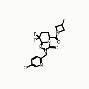 O=C(C1CCC(F)(F)c2nn(Cc3ccc(Cl)cn3)c(=O)n21)N1CC(F)C1